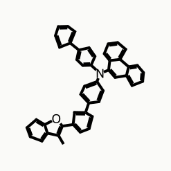 Cc1c(-c2cccc(-c3ccc(N(c4ccc(-c5ccccc5)cc4)c4cc5ccccc5c5ccccc45)cc3)c2)oc2ccccc12